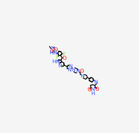 CCN(C)S(=O)(=O)Nc1ccc(F)c(C(=O)c2c[nH]c3ncc(-c4cnc(N5CCN(C(=O)CN6CCC(c7ccc(/N=C\C8CCC(=O)NC8=O)cc7)CC6)CC5)nc4)cc23)c1F